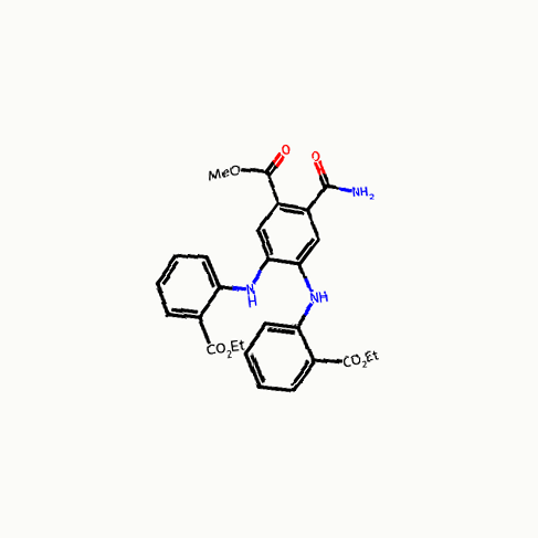 CCOC(=O)c1ccccc1Nc1cc(C(N)=O)c(C(=O)OC)cc1Nc1ccccc1C(=O)OCC